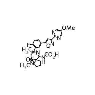 CN=[S@@]1(=O)C[C@@](C)(c2cc(-c3cc(-c4ncc(OC)cn4)no3)ccc2F)N=C(NC(=O)O)C12CCCC2